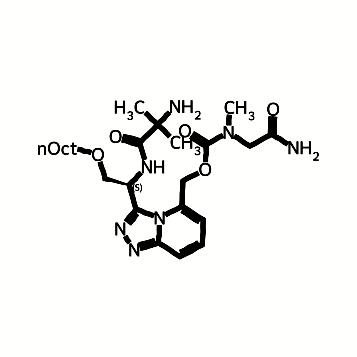 CCCCCCCCOC[C@@H](NC(=O)C(C)(C)N)c1nnc2cccc(COC(=O)N(C)CC(N)=O)n12